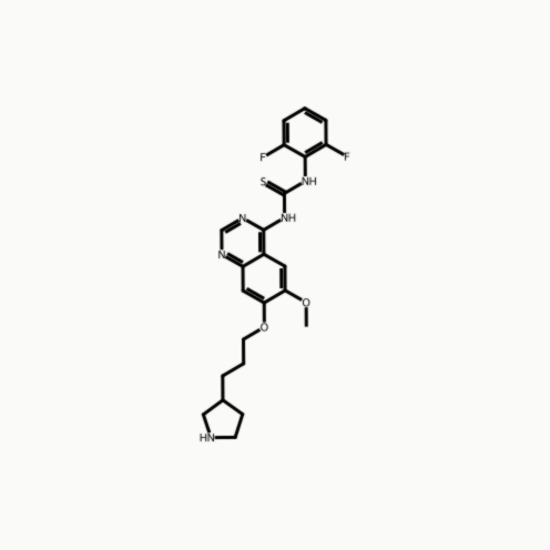 COc1cc2c(NC(=S)Nc3c(F)cccc3F)ncnc2cc1OCCCC1CCNC1